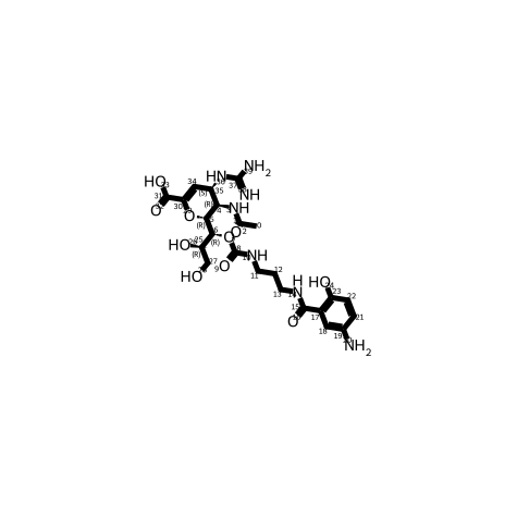 CC(=O)N[C@H]1[C@H]([C@H](OC(=O)NCCCNC(=O)c2cc(N)ccc2O)[C@H](O)CO)OC(C(=O)O)=C[C@@H]1NC(=N)N